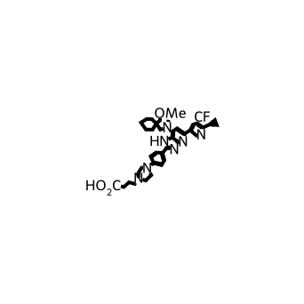 COCC1(CN(C)c2cc(-c3cnc(C4CC4)c(C(F)(F)F)c3)nc3nc(-c4ccc(N5CCN(CCCC(=O)O)CC5)cc4)[nH]c23)CCCCC1